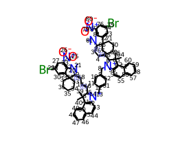 CN1/C(=C/C=C/C2=[N+](Cc3ccc(C[N+]4=C(/C=C/C=C5/N(C)c6c([N+](=O)[O-])cc(Br)cc6C56CCCCC6)C(C)(C)c5c4ccc4ccccc54)cc3)c3ccc4ccccc4c3C2(C)C)C2(CCCCC2)c2cc(Br)cc([N+](=O)[O-])c21